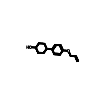 C=CCOc1ccc(C2CCC(O)CC2)cc1